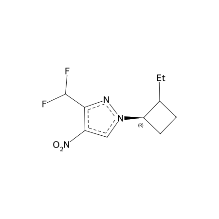 CCC1CC[C@H]1n1cc([N+](=O)[O-])c(C(F)F)n1